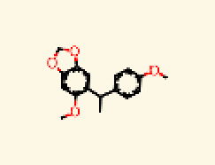 COc1ccc(C(C)c2cc3c(cc2OC)OCO3)cc1